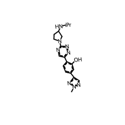 CC(C)NC1CCN(c2ncc(-c3ccc(-c4cnn(C)n4)cc3O)nn2)C1